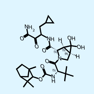 CC12CCC(C1)C(C)(C)C2OC(=O)N[C@H](C(=O)N1C[C@H]2[C@@H]([C@H]1C(=O)NC(CC1CC1)C(=O)C(N)=O)C2(O)O)C(C)(C)C